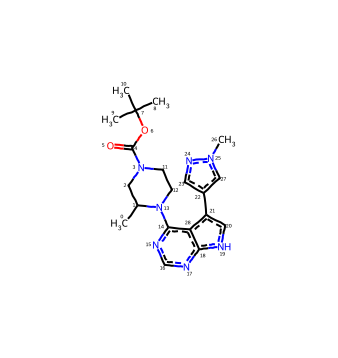 CC1CN(C(=O)OC(C)(C)C)CCN1c1ncnc2[nH]cc(-c3cnn(C)c3)c12